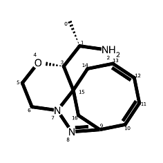 C[C@H](N)[C@H]1OCCN2N=C3/C=C\C=C/CC12C3